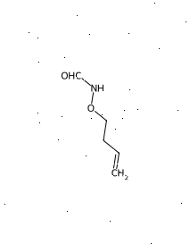 C=CCCONC=O